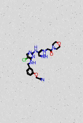 N#CCOc1cccc(CNc2nc(N/C(C=N)=C/NCC(=O)N3CCOCC3)ncc2Cl)c1